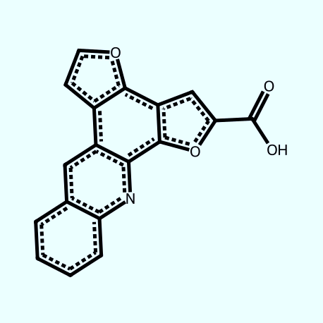 O=C(O)c1cc2c3occc3c3cc4ccccc4nc3c2o1